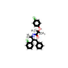 CC(NC(=O)C(C)(C)Oc1ccc(Cl)cc1)C(Cc1ccccc1)c1ccccc1Cl